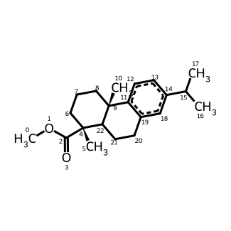 COC(=O)[C@]1(C)CCC[C@]2(C)c3ccc(C(C)C)cc3CCC12